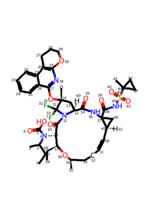 CCC(C)N(C(=O)O)[C@@H]1C(=O)N2[C@@H](C[C@@](C)(Oc3nc4c(c5ccccc35)CCCO4)C2(F)F)C(=O)NC2(C(=O)NS(=O)(=O)C3(C)CC3)C[C@H]2/C=C\CC[C@@H](C)O[C@H]1CC